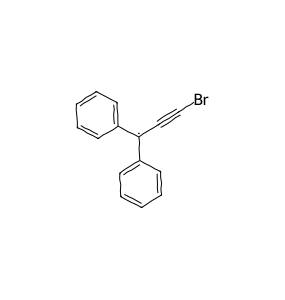 BrC#C[C](c1ccccc1)c1ccccc1